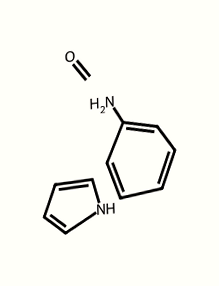 C=O.Nc1ccccc1.c1cc[nH]c1